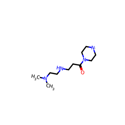 CN(C)CCNCCC(=O)N1CC[N]CC1